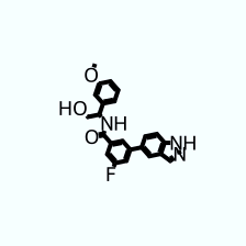 COc1cccc(C(CO)NC(=O)c2cc(F)cc(-c3ccc4[nH]ncc4c3)c2)c1